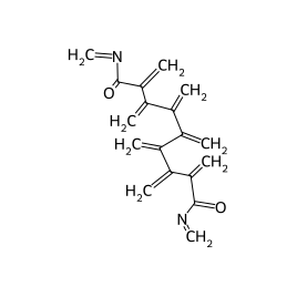 C=NC(=O)C(=C)C(=C)C(=C)C(=C)C(=C)C(=C)C(=C)C(=O)N=C